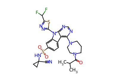 CC(C)C(=O)N1CCCN(c2ncnc3c2c2ccc(S(=O)(=O)NC4(C#N)CC4)cc2n3-c2nnc(C(F)F)s2)CC1